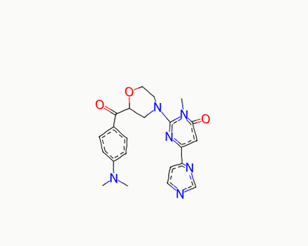 CN(C)c1ccc(C(=O)C2CN(c3nc(-c4ccncn4)cc(=O)n3C)CCO2)cc1